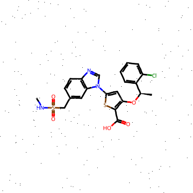 CNS(=O)(=O)Cc1ccc2ncn(-c3cc(O[C@H](C)c4ccccc4Cl)c(C(=O)O)s3)c2c1